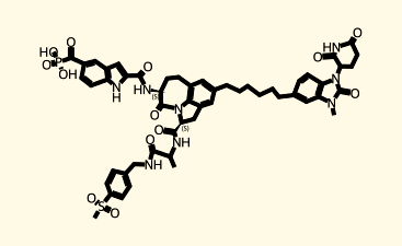 CC(NC(=O)[C@@H]1Cc2cc(CCCCCCc3ccc4c(c3)n(C)c(=O)n4C3CCC(=O)NC3=O)cc3c2N1C(=O)[C@@H](NC(=O)c1cc2cc(C(=O)P(=O)(O)O)ccc2[nH]1)CC3)C(=O)NCc1ccc(S(C)(=O)=O)cc1